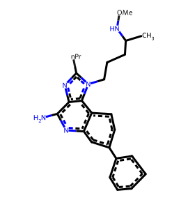 CCCc1nc2c(N)nc3cc(-c4ccccc4)ccc3c2n1CCCC(C)NOC